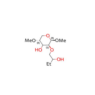 CCC(O)CO[C@H]1C(O)[C@H](OC)CO[C@H]1OC